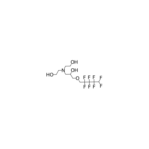 OCCN(CCO)CC(O)COCC(F)(F)C(F)(F)C(F)(F)C(F)F